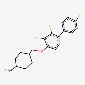 CCCCCCCC1CCC(COc2ccc(-c3ccc(F)cc3)c(F)c2F)CC1